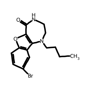 CCCCN1CCNC(=O)c2oc3ccc(Br)cc3c21